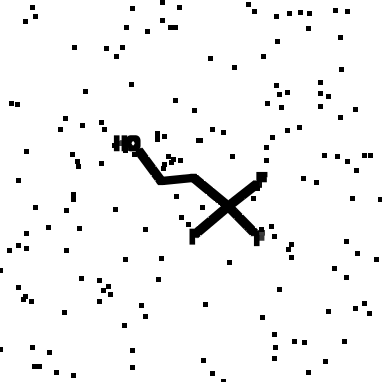 OCCC(F)(F)I